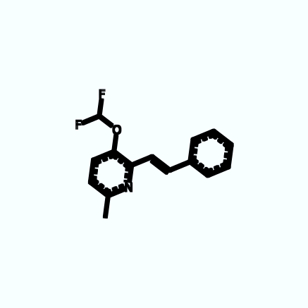 Cc1ccc(OC(F)F)c(C=Cc2ccccc2)n1